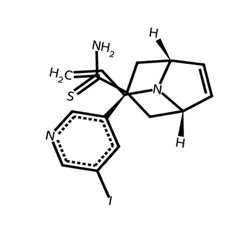 C=CCN1[C@@H]2C=C[C@H]1C[C@](C(N)=S)(c1cncc(I)c1)C2